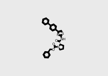 O=C(Nc1nc(-c2ccc(-c3ccccc3)cc2)cs1)[C@@H]1CCCN1C(=O)OCc1ccccc1